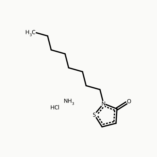 CCCCCCCCn1sccc1=O.Cl.N